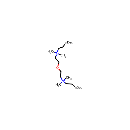 CCCCCCCCCCCC[N+](C)(C)CCOCC[N+](C)(C)CCCCCCCCCCCC